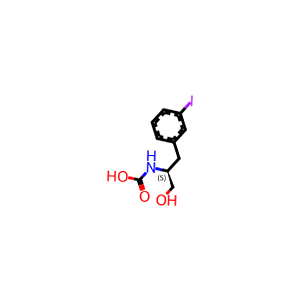 O=C(O)N[C@H](CO)Cc1cccc(I)c1